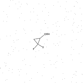 COC1CC1(F)F